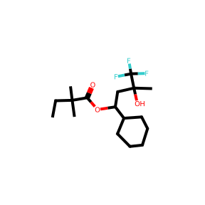 CCC(C)(C)C(=O)OC(CC(C)(O)C(F)(F)F)C1CCCCC1